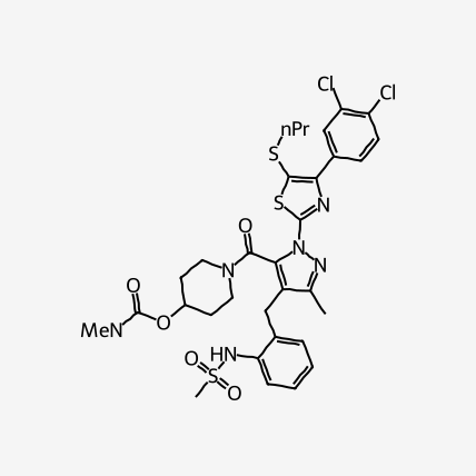 CCCSc1sc(-n2nc(C)c(Cc3ccccc3NS(C)(=O)=O)c2C(=O)N2CCC(OC(=O)NC)CC2)nc1-c1ccc(Cl)c(Cl)c1